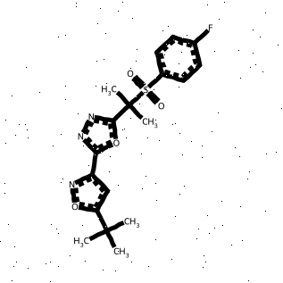 CC(C)(C)c1cc(-c2nnc(C(C)(C)S(=O)(=O)c3ccc(F)cc3)o2)no1